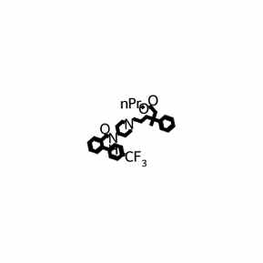 CCCOC(=O)CC(C)(CCCN1CCC(NC(=O)c2ccccc2-c2ccc(C(F)(F)F)cc2)CC1)c1ccccc1